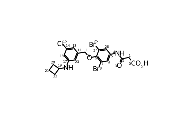 O=C(O)CC(=O)Nc1cc(Br)c(OCc2cc(Cl)cc(NC3CCC3)c2)c(Br)c1